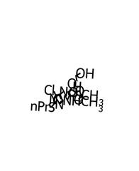 CCCSc1nc(Cl)c([N+](=O)[O-])c(NC2C[C@H](OCCO)[C@H]3OC(C)(C)OC23)n1